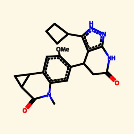 COc1cc2c(cc1C1CC(=O)Nc3n[nH]c(C4CCC4)c31)N(C)C(=O)C1CC21